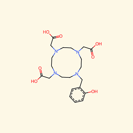 O=C(O)CN1CCN(CC(=O)O)CCN(Cc2ccccc2O)CCN(CC(=O)O)CC1